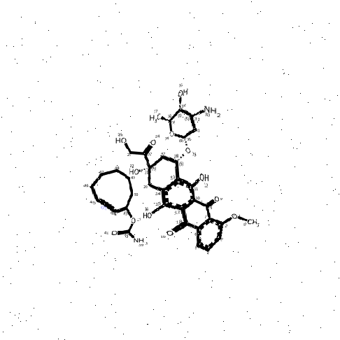 COc1cccc2c1C(=O)c1c(O)c3c(c(O)c1C2=O)C[C@@](O)(C(=O)CO)C[C@@H]3O[C@H]1C[C@H](N)[C@H](O)[C@H](C)O1.NC(=O)OC1/C=C\CCCCC1